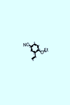 C=Cc1cc(C#N)ccc1OCC